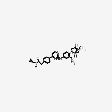 Cc1cc(Nc2nccc(-c3ccc(CC(=O)NC4CC4)cc3)n2)ccc1N1C[C@@H]2C[C@H]1CN2C